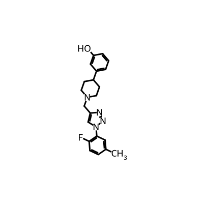 Cc1ccc(F)c(-n2cc(CN3CCC(c4cccc(O)c4)CC3)nn2)c1